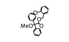 COC(C(=O)OCc1ccccc1Cl)(c1ccccc1)c1ccccc1